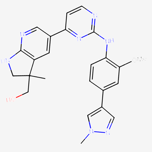 COc1cc(-c2cnn(C)c2)ccc1Nc1nccc(-c2cnc3c(c2)C(C)(CO)CN3)n1